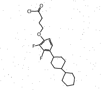 O=C(Cl)CCCOc1ccc(C2CCC(C3CCCCC3)CC2)c(F)c1F